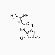 N=C(N)NC(=O)Nc1c(Cl)cc(Br)cc1Cl